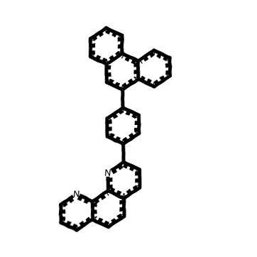 c1ccc2c(c1)cc(-c1ccc(-c3ccc4ccc5cccnc5c4n3)cc1)c1ccccc12